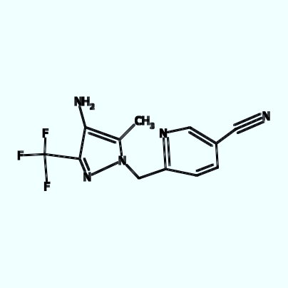 Cc1c(N)c(C(F)(F)F)nn1Cc1ccc(C#N)cn1